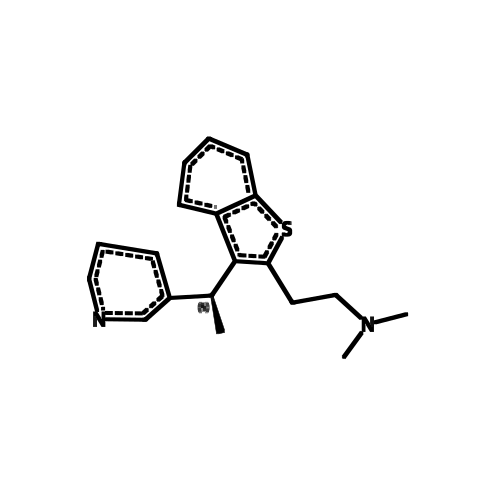 C[C@@H](c1cccnc1)c1c(CCN(C)C)sc2ccccc12